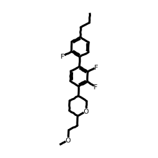 CCCc1ccc(-c2ccc(C3CCC(CCOC)OC3)c(F)c2F)c(F)c1